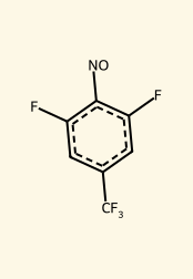 O=Nc1c(F)cc(C(F)(F)F)cc1F